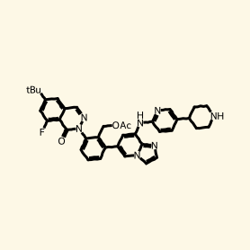 CC(=O)OCc1c(-c2cc(Nc3ccc(C4CCNCC4)cn3)c3nccn3c2)cccc1-n1ncc2cc(C(C)(C)C)cc(F)c2c1=O